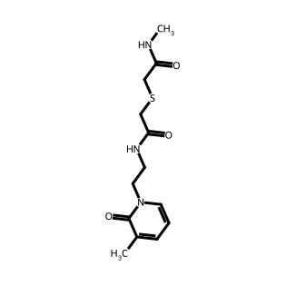 CNC(=O)CSCC(=O)NCCn1cccc(C)c1=O